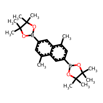 Cc1cc(B2OC(C)(C)C(C)(C)O2)cc2c(C)cc(B3OC(C)(C)C(C)(C)O3)cc12